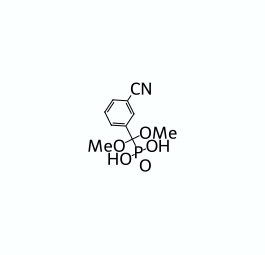 COC(OC)(c1cccc(C#N)c1)P(=O)(O)O